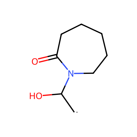 [CH2]C(O)N1CCCCCC1=O